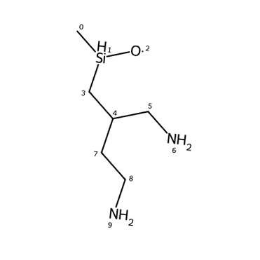 C[SiH]([O])CC(CN)CCN